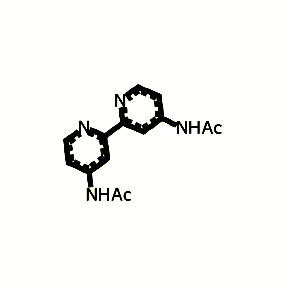 CC(=O)Nc1ccnc(-c2cc(NC(C)=O)ccn2)c1